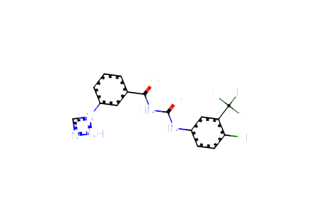 O=C(NC(=O)c1cccc(-n2cn[nH]2)c1)Nc1ccc(Cl)c(C(F)(F)F)c1